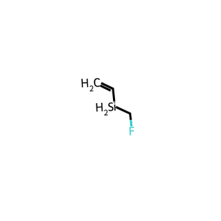 C=C[SiH2]CF